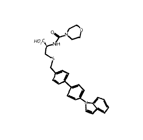 O=C(O)[C@H](CSCc1ccc(-c2ccc(-n3ccc4ccccc43)cc2)cc1)NC(=O)N1CCOCC1